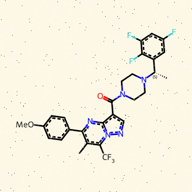 COc1ccc(-c2nc3c(C(=O)N4CCN([C@@H](C)c5cc(F)cc(F)c5F)CC4)cnn3c(C(F)(F)F)c2C)cc1